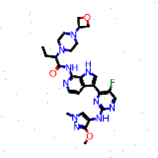 CCC(C(=O)Nc1nccc2c(-c3nc(Nc4cn(C)nc4OC)ncc3F)c[nH]c12)N1CCN(C2COC2)CC1